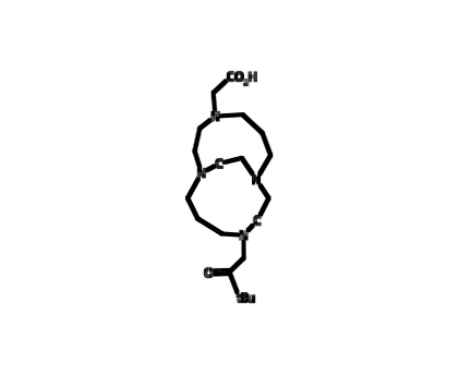 CC(C)(C)C(=O)CN1CCCN2CCN(CCCN(CC(=O)O)CC2)CC1